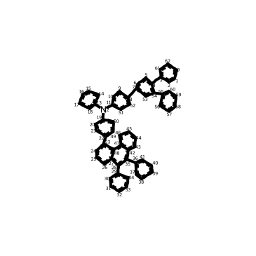 c1ccc(-c2ccc(-c3ccc(N(c4ccccc4)c4ccc(-c5cccc6c(-c7ccccc7)c(-c7ccccc7)c7ccccc7c56)cc4)cc3)cc2-c2ccccc2)cc1